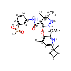 COc1nc(C2(C)CCC2)cc(C)c1Oc1nnc(C(F)(F)F)c(C)c1C(=O)Nc1cccc(S(C)(=O)=O)c1